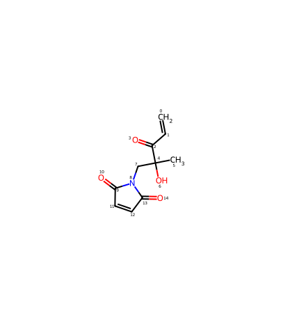 C=CC(=O)C(C)(O)CN1C(=O)C=CC1=O